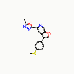 CSc1ccc(-c2coc3cnc(-c4nnc(C)o4)cc23)cc1